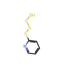 SSSSc1ccccn1